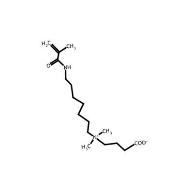 C=C(C)C(=O)NCCCCCCC[N+](C)(C)CCCC(=O)[O-]